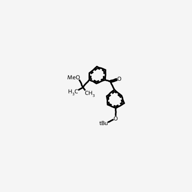 COC(C)(C)c1cccc(C(=O)c2ccc(OC(C)(C)C)cc2)c1